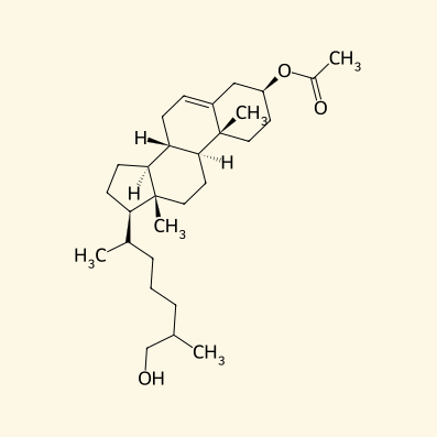 CC(=O)O[C@H]1CC[C@@]2(C)C(=CC[C@H]3[C@@H]4CC[C@H](C(C)CCCC(C)CO)[C@@]4(C)CC[C@@H]32)C1